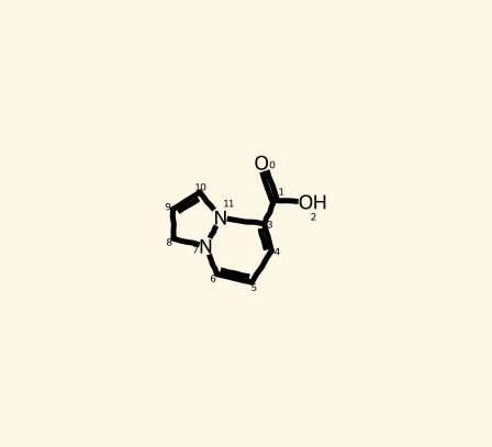 O=C(O)C1=CC=CN2CC=CN12